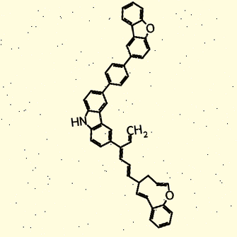 C=C/C(=C\C=C\C1/C=C/c2ccccc2O/C=C/C1)c1ccc2[nH]c3ccc(-c4ccc(-c5ccc6oc7ccccc7c6c5)cc4)cc3c2c1